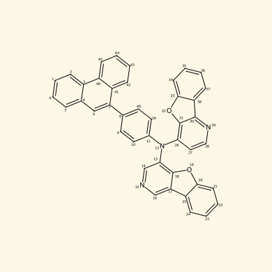 c1ccc2c(c1)cc(-c1ccc(N(c3cncc4c3oc3ccccc34)c3ccnc4c3oc3ccccc34)cc1)c1ccccc12